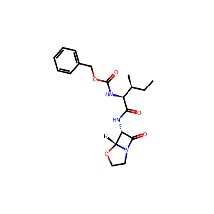 CC[C@H](C)[C@H](NC(=O)OCc1ccccc1)C(=O)N[C@@H]1C(=O)N2CCO[C@H]12